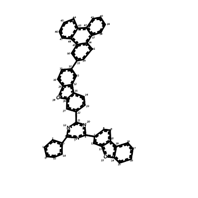 c1ccc(-c2nc(-c3ccc4c(c3)oc3ccccc34)nc(-c3ccc4c(c3)oc3ccc(-c5ccc6c7ccccc7c7ccccc7c6c5)cc34)n2)cc1